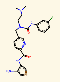 CN(C)CCN(Cc1ccc(C(=O)Nc2cscc2N)nc1)C(=O)Nc1cccc(F)c1